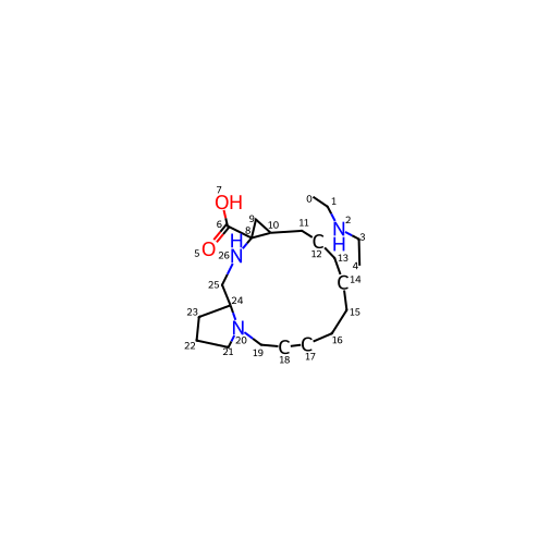 CCNCC.O=C(O)C12CC1CCCCCCCCCN1CCCC1CN2